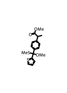 COC(=O)C(C)c1ccc(C(OC)(SC)c2cccs2)cc1